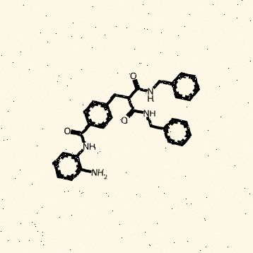 Nc1ccccc1NC(=O)c1ccc(CC(C(=O)NCc2ccccc2)C(=O)NCc2ccccc2)cc1